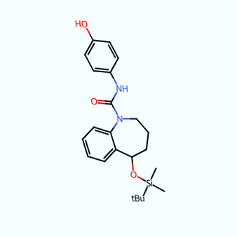 CC(C)(C)[Si](C)(C)OC1CCCN(C(=O)Nc2ccc(O)cc2)c2ccccc21